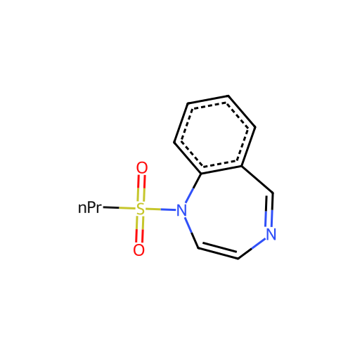 CCCS(=O)(=O)N1C=CN=Cc2ccccc21